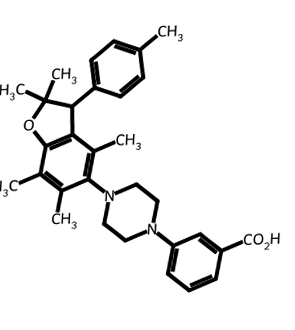 Cc1ccc(C2c3c(C)c(N4CCN(c5cccc(C(=O)O)c5)CC4)c(C)c(C)c3OC2(C)C)cc1